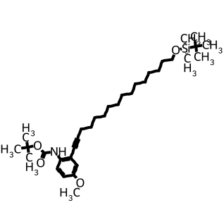 COc1ccc(NC(=O)OC(C)(C)C)c(C#CCCCCCCCCCCCCCCO[Si](C)(C)C(C)(C)C)c1